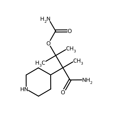 CC(C)(OC(N)=O)C(C)(C(N)=O)C1CCNCC1